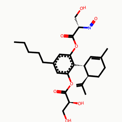 C=C(C)[C@@H]1CCC(C)=C[C@H]1c1c(OC(=O)[C@H](CO)N=O)cc(CCCCC)cc1OC(=O)[C@@H](O)CO